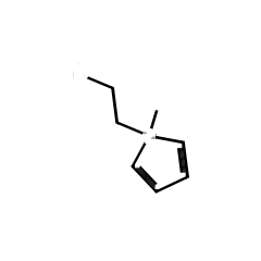 [O-][N+]1(CCO)C=CC=C1